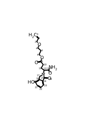 C=CCOCCCOC(=O)CCC(C(N)=O)N1Cc2c(O)cccc2C1=O